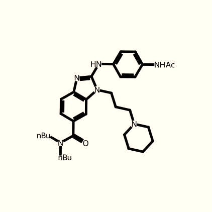 CCCCN(CCCC)C(=O)c1ccc2nc(Nc3ccc(NC(C)=O)cc3)n(CCCN3CCCCC3)c2c1